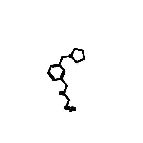 CCOC(=O)CNCc1cccc(CN2CCCC2)c1